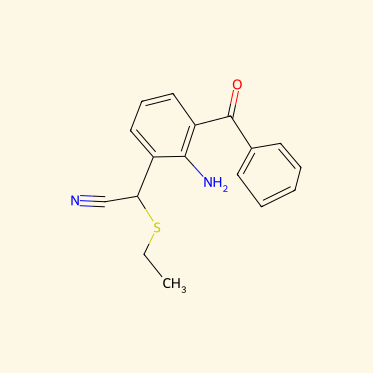 CCSC(C#N)c1cccc(C(=O)c2ccccc2)c1N